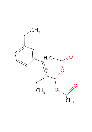 CC/C(=C\c1cccc(CC)c1)C(OC(C)=O)OC(C)=O